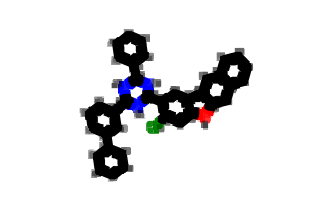 Clc1cc2oc3cc4ccccc4cc3c2cc1-c1nc(-c2ccccc2)nc(-c2cccc(-c3ccccc3)c2)n1